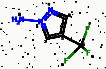 Nn1cc(C(F)(F)F)cn1